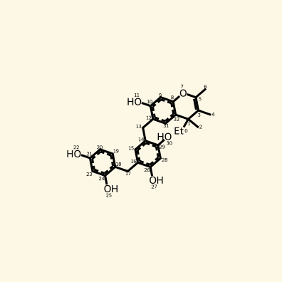 CCC1(C)C(C)=C(C)Oc2cc(O)c(Cc3cc(Cc4ccc(O)cc4O)c(O)cc3O)cc21